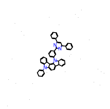 C1=CC2c3ccc4c(c3N(c3cccc(-c5nc(-c6ccccc6)cc(-c6ccccc6)n5)c3)C2C=C1)c1ccccc1n4C1=CCCC=C1